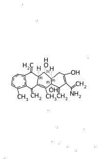 C=C(N)C1=C(O)C[C@@H]2[C@@H](O)[C@@H]3C(=C)c4cccc(C)c4C(=C)C3=C(C)[C@]2(O)C1=C